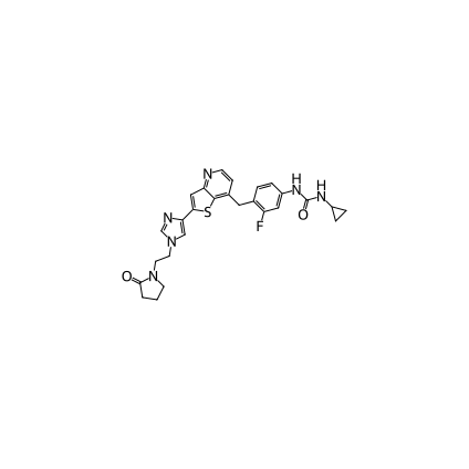 O=C(Nc1ccc(Cc2ccnc3cc(-c4cn(CCN5CCCC5=O)cn4)sc23)c(F)c1)NC1CC1